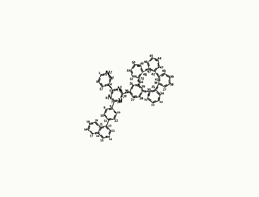 c1cncc(-c2nc(-c3ccc(-c4cccc5ccccc45)cc3)nc(-c3ccc4c5ccccc5c5ccccc5c5ccccc5c5ccccc5c4c3)n2)c1